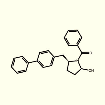 O=C(c1ccccc1)N1C(O)CC[C@H]1Cc1ccc(-c2ccccc2)cc1